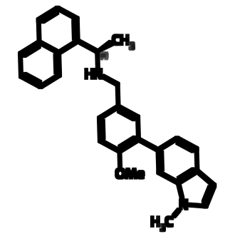 COc1ccc(CN[C@H](C)c2cccc3ccccc23)cc1-c1ccc2ccn(C)c2c1